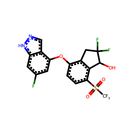 O=S(=O)(c1ccc(Oc2cc(F)cc3[nH]ncc23)c2c1C(O)C(F)(F)C2)C(F)(F)F